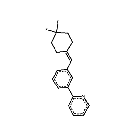 FC1(F)CCC(=Cc2cccc(-c3ccccn3)c2)CC1